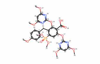 COc1ccc(Cc2c(P(=O)(OC)OC)cc(Oc3nc(OC)cc(OC)n3)c(C(=O)O)c2Oc2nc(OC)cc(OC)n2)cc1